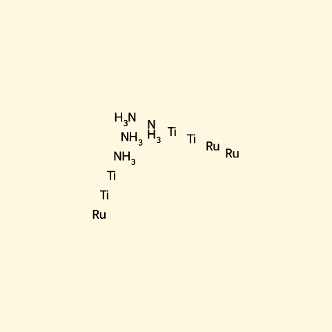 N.N.N.N.[Ru].[Ru].[Ru].[Ti].[Ti].[Ti].[Ti]